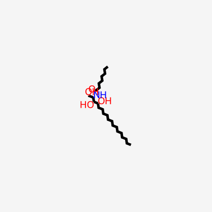 CCCCCCCCCCCCCCC(O)C(O)C(CO)NC(=O)CCCCCCC